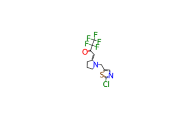 O=C(/C=C1\CCCN1Cc1cnc(Cl)s1)C(F)(F)C(F)(F)F